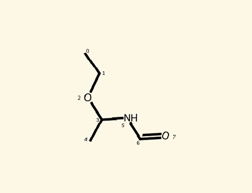 CCOC(C)NC=O